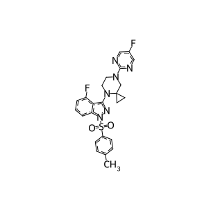 Cc1ccc(S(=O)(=O)n2nc(N3CCN(c4ncc(F)cn4)CC34CC4)c3c(F)cccc32)cc1